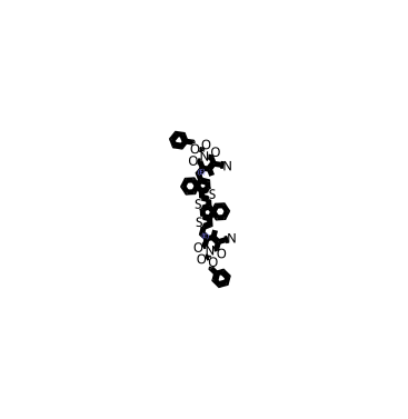 CC1=C(C#N)C(=O)N(C(=O)OCc2ccccc2)C(=O)/C1=C/C1=Cc2sc3c4c(sc3c2C12CCCCC2)-c1sc(/C=C2/C(=O)N(C(=O)OCc3ccccc3)C(=O)C(C#N)=C2C)cc1C41CCCCC1